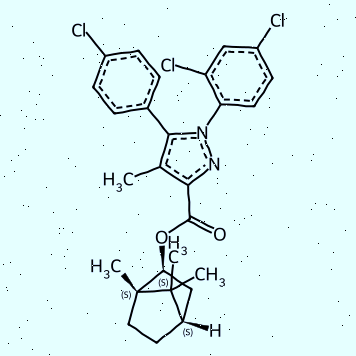 Cc1c(C(=O)O[C@H]2C[C@@H]3CC[C@@]2(C)C3(C)C)nn(-c2ccc(Cl)cc2Cl)c1-c1ccc(Cl)cc1